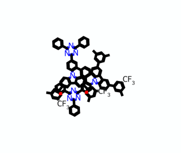 Cc1cc(C)cc(-c2ccc3c(c2)c2cc(-c4cc(C)cc(C(F)(F)F)c4)ccc2n3-c2ccc(-c3nc(-c4ccccc4)nc(-c4ccccc4)n3)cc2-c2cccc(-c3cc(-c4nc(-c5ccccc5)nc(-c5ccccc5)n4)ccc3-n3c4ccc(-c5cc(C)cc(C(F)(F)F)c5)cc4c4cc(-c5cc(C)cc(C(F)(F)F)c5)ccc43)c2)c1